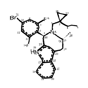 CCC1(CN2[C@H](c3c(F)cc(Br)cc3F)c3[nH]c4ccccc4c3C[C@H]2C)CC1